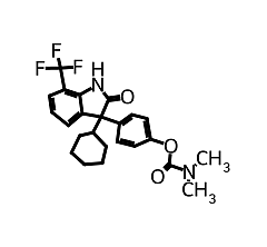 CN(C)C(=O)Oc1ccc(C2(C3CCCCC3)C(=O)Nc3c(C(F)(F)F)cccc32)cc1